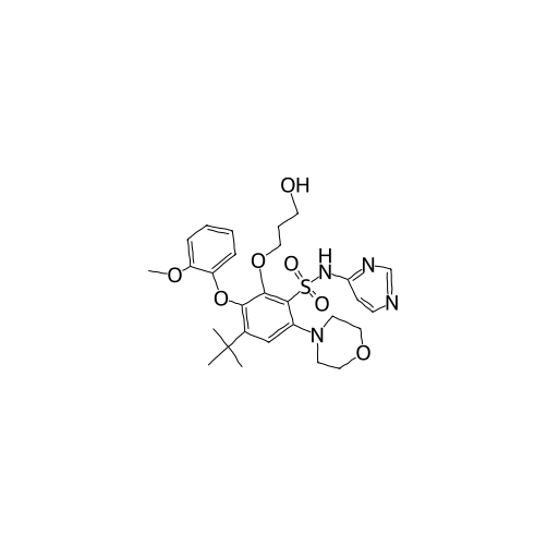 COc1ccccc1Oc1c(C(C)(C)C)cc(N2CCOCC2)c(S(=O)(=O)Nc2ccncn2)c1OCCCO